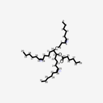 CCCCC/C=C\CCCC(CCC/C=C\CCCCC)C(CCC/C=C\CCCCC)OC(=O)CCCCC